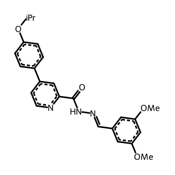 COc1cc(/C=N/NC(=O)c2cc(-c3ccc(OC(C)C)cc3)ccn2)cc(OC)c1